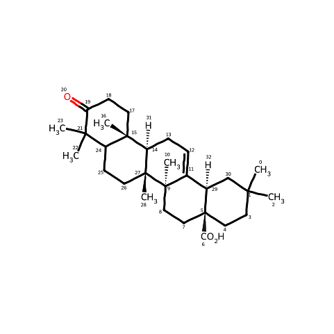 CC1(C)CC[C@]2(C(=O)O)CC[C@]3(C)C(=CC[C@@H]4[C@@]5(C)CCC(=O)C(C)(C)C5CC[C@]43C)[C@H]2C1